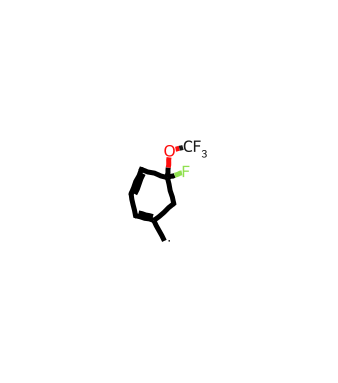 [CH2]C1=CC=CC(F)(OC(F)(F)F)C1